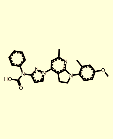 COc1ccc(N2CCc3c(-n4ccc(N(C(=O)O)c5ccccc5)n4)cc(C)nc32)c(C)c1